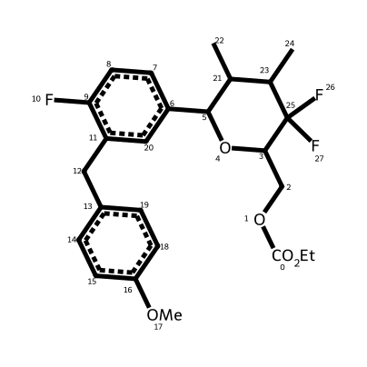 CCOC(=O)OCC1OC(c2ccc(F)c(Cc3ccc(OC)cc3)c2)C(C)C(C)C1(F)F